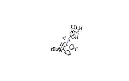 CC(C)(C)n1nc(-c2ccccc2)c2c(-c3ccc(F)cc3)c(/C=C/C(O)CC(O)CC(=O)O)c(C3CC3)nc21